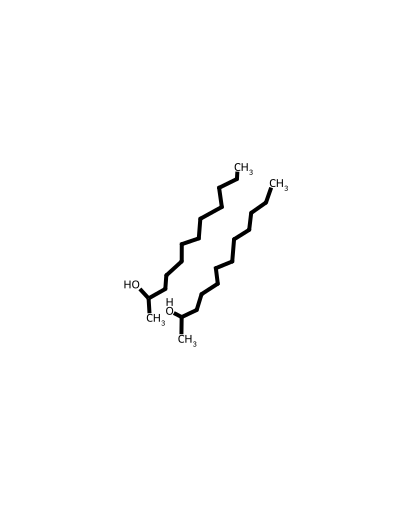 CCCCCCCCCCC(C)O.CCCCCCCCCCC(C)O